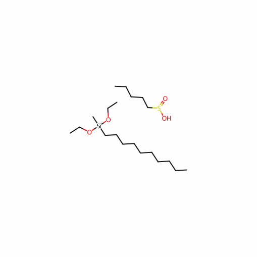 CCCCCCCCCC[Si](C)(OCC)OCC.CCCCCS(=O)O